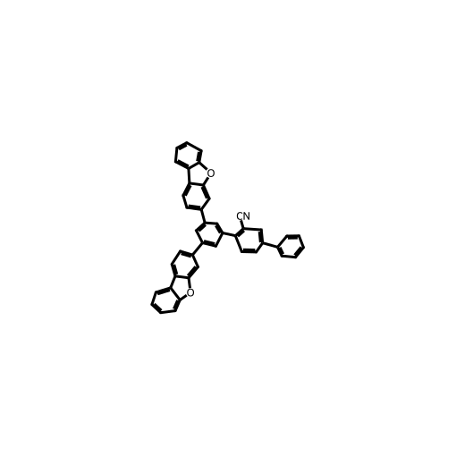 N#Cc1cc(-c2ccccc2)ccc1-c1cc(-c2ccc3c(c2)oc2ccccc23)cc(-c2ccc3c(c2)oc2ccccc23)c1